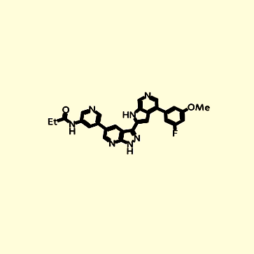 CCC(=O)Nc1cncc(-c2cnc3[nH]nc(-c4cc5c(-c6cc(F)cc(OC)c6)cncc5[nH]4)c3c2)c1